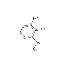 O=c1c(NP)cccn1O